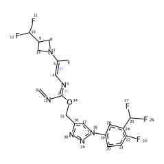 C=N/C(=N\C=C(/C)N1CC(C(F)F)C1)OCc1cn(-c2ccc(F)c(C(F)F)c2)nn1